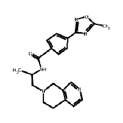 CC(CN1CCc2ccncc2C1)NC(=O)c1ccc(-c2noc(C(F)(F)F)n2)cc1